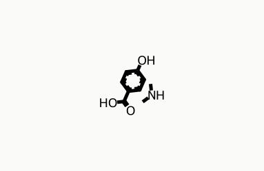 CNC.O=C(O)c1ccc(O)cc1